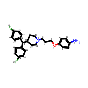 Nc1ccc(OCCCN2CCC(C(c3ccc(F)cc3)c3ccc(F)cc3)CC2)cc1